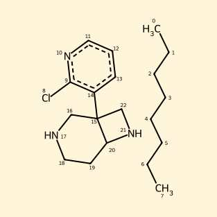 CCCCCCCC.Clc1ncccc1C12CNCCC1NC2